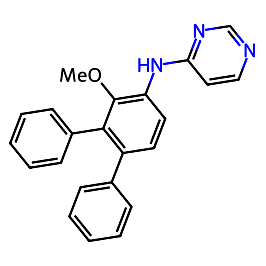 COc1c(Nc2ccncn2)ccc(-c2ccccc2)c1-c1ccccc1